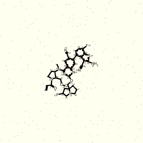 C=CC(=O)N1CCC(N(C)c2nc(OCC34CCCN3CC(F)C4)nc3cc(-c4ccc(F)c5sc(N)c(C#N)c45)c(C#N)cc23)C1COC